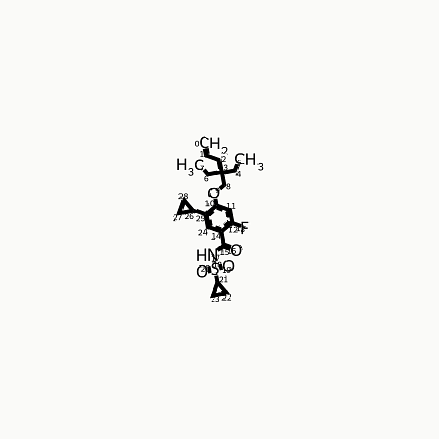 C=CCC(CC)(CC)COc1cc(F)c(C(=O)NS(=O)(=O)C2CC2)cc1C1CC1